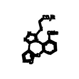 CCOC(=O)CSc1nnc(-c2ccoc2)n1-c1c(OC)cccc1OC